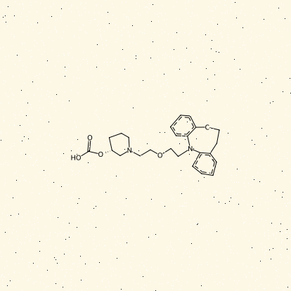 O=C(O)O[C@@H]1CCCN(CCOCCN2c3ccccc3CCCc3ccccc32)C1